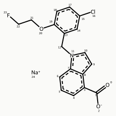 O=C([O-])c1cccc2c1ccn2Cc1cc(Cl)ccc1OCCF.[Na+]